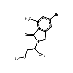 CCOCC(C)N1Cc2cc(Br)cc(C)c2C1=O